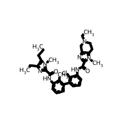 CCCc1c(CC)nc(C(=O)Nc2cccc(-c3cccc(NC(=O)c4nc5c(n4C)CCN(CC)C5)c3Cl)c2C)n1C